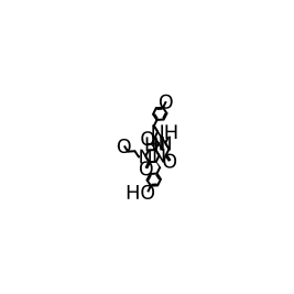 COCCCN1C[C@H]2N(C(=O)CN(C)N2C(=O)NCc2ccc(OC)cc2)[C@@H](Cc2ccc(O)cc2)C1=O